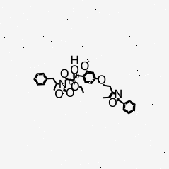 CCO[C@H](C(=O)N1C(=O)OCC1Cc1ccccc1)[C@H](O)c1ccc(OCCc2nc(-c3ccccc3)oc2C)cc1OC